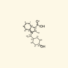 Cc1c(C(=O)O)c2ccccc2n1C(C)C1CCC(O)CC1